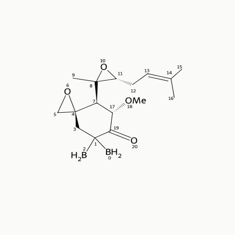 BC1(B)C[C@]2(CO2)[C@@H](C2(C)O[C@@H]2CC=C(C)C)[C@H](OC)C1=O